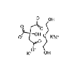 O=C([O-])CC(O)(CC(=O)[O-])C(=O)[O-].OCCOCCO.[K+].[K+].[K+]